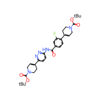 CC(C)(C)OC(=O)N1CC=C(c2ccc(NC(=O)c3ccc(C4=CCN(C(=O)OC(C)(C)C)CC4)c(F)c3)nn2)CC1